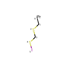 CC(C)CSCSI